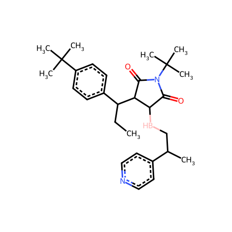 CCC(c1ccc(C(C)(C)C)cc1)C1C(=O)N(C(C)(C)C)C(=O)C1BCC(C)c1ccncc1